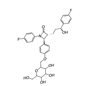 O=C1[C@H](CC[C@H](O)c2ccc(F)cc2)[C@@H](c2ccc(OCC3OC(CO)C(O)C(O)C3O)cc2)N1c1ccc(F)cc1